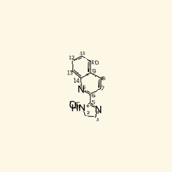 [O-][NH+]1CCN=C1c1ccc2ccccc2n1